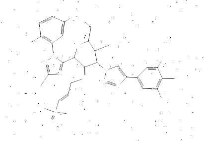 CCP(=O)(/C=C/COC1C(c2nc(C)nn2-c2cc(Cl)ccc2Cl)OC(CO)C(OC)C1n1cc(-c2cc(F)c(F)c(F)c2)nn1)CC